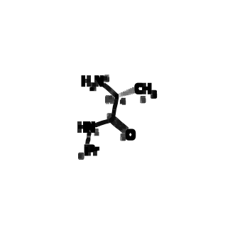 CC(C)NC(=O)[C@@H](C)N